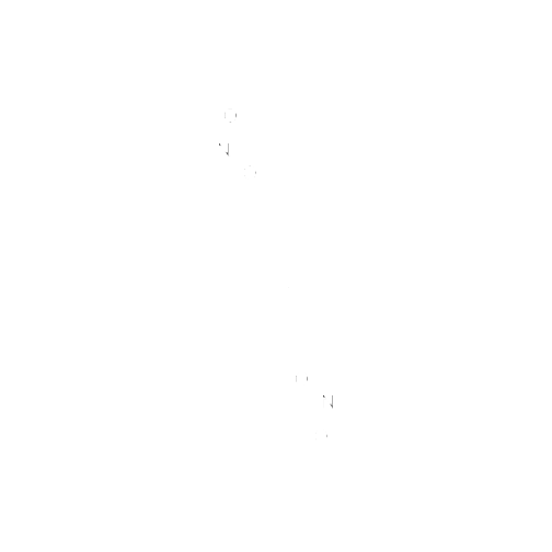 O=NOCCCCCCON=O